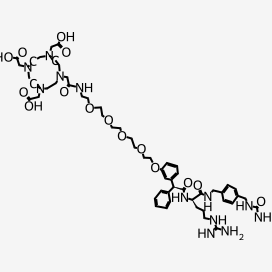 N=C(N)NCCC[C@@H](NC(=O)[C@@H](c1ccccc1)c1cccc(OCCOCCOCCOCCOCCNC(=O)CN2CCN(CC(=O)O)CCN(CC(=O)O)CCN(CC(=O)O)CC2)c1)C(=O)NCc1ccc(CNC(N)=O)cc1